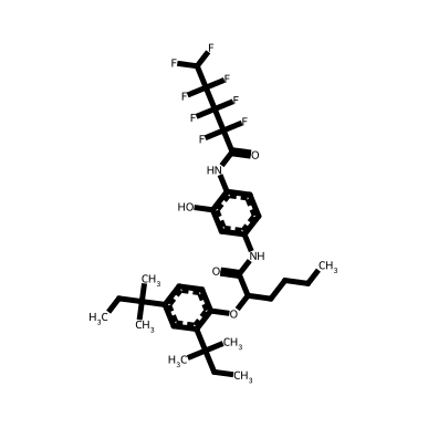 CCCCC(Oc1ccc(C(C)(C)CC)cc1C(C)(C)CC)C(=O)Nc1ccc(NC(=O)C(F)(F)C(F)(F)C(F)(F)C(F)F)c(O)c1